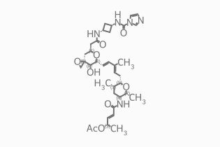 CC(=O)O[C@@H](C)C=CC(=O)N[C@@H]1C[C@H](C)[C@H](CC=C(C)C=C[C@H]2O[C@H](CC(=O)N[C@H]3C[C@H](NC(=O)n4ccnc4)C3)C[C@@]3(CO3)[C@@H]2O)O[C@@H]1C